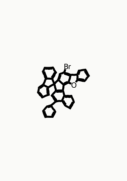 Brc1cc2c(c3oc4ccccc4c13)-c1c(cc(-c3ccccc3)c3ccccc13)C21c2ccccc2-c2ccccc21